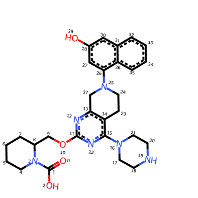 O=C(O)N1CCCCC1COc1nc2c(c(N3CCNCC3)n1)CCN(c1cc(O)cc3ccccc13)C2